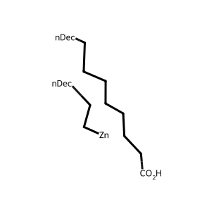 CCCCCCCCCCCCCCCCCC(=O)O.CCCCCCCCCCC[CH2][Zn]